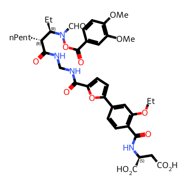 CCCCC[C@@H](C(=O)NCNC(=O)c1ccc(-c2ccc(C(=O)N[C@@H](CC(=O)O)C(=O)O)c(OCC)c2)o1)[C@@H](CC)N(C=O)OC(=O)c1ccc(OC)c(OC)c1